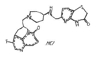 Cl.O=C1CSc2ccc(CNC3CCN(CC4Cc5c(F)cnc6ccc(=O)n4c56)CC3)nc2N1